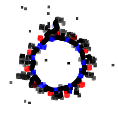 C/C=C/C[C@@H](C)C[C@H]1C(=O)N[C@@H](CC)C(=O)N(C)[C@H](C)C(=O)N(C)[C@@H]([C@H](C)C=O)C(=O)NC(C(C)C)C(=O)N(C)[C@@H](CC(C)C)C(=O)N[C@@H](C)C(=O)N[C@H](C)C(=O)N(C)[C@@H](CC(C)C)C(=O)N(C)[C@@H](CC(C)C)C(=O)N(C)C(C(C)C)C(=O)N1C